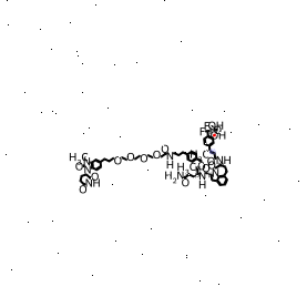 C/C(=C\C(=O)N[C@H]1CCc2cccc3c2N(C1=O)[C@H](C(=O)N[C@@H](CCC(N)=O)[C@@H](C)OCc1ccc(CCCNC(=O)COCCOCCOCCOCCCc2ccc4c(c2)n(C)c(=O)n4C2CCC(=O)NC2=O)cc1)C3)c1ccc(C(F)(F)P(=O)(O)O)cc1